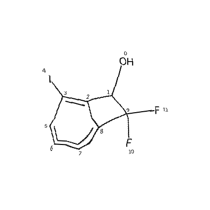 OC1C2=C(I)C=C=C=C2C1(F)F